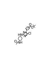 CC(=O)N[C@H]1CC[C@H](Nc2ncc(Cl)c(C3=CCN(C(=O)OC(C)(C)C)C3)n2)CC1